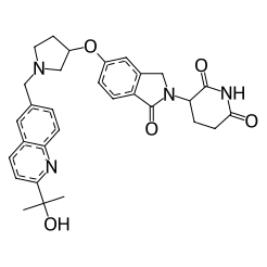 CC(C)(O)c1ccc2cc(CN3CCC(Oc4ccc5c(c4)CN(C4CCC(=O)NC4=O)C5=O)C3)ccc2n1